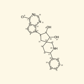 OC1C(n2ccc3c(Cl)ncnc32)CC2(CCC(c3ccccc3)NC2)C1O